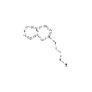 [S]CCCCc1ccc2ccccc2c1